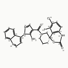 Nc1c(C(=O)N2CCC[C@@]3(C2)OC(=O)Nc2ccc(Cl)c(F)c23)cnn1-c1ccnc2ccccc12